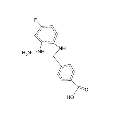 NNc1cc(F)ccc1NCc1ccc(C(=O)O)cc1